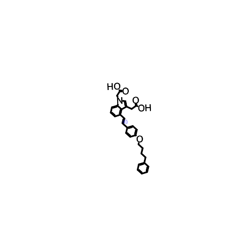 O=C(O)Cc1cn(CC(=O)O)c2cccc(/C=C/c3ccc(OCCCCc4ccccc4)cc3)c12